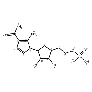 NC(=O)c1ncn(C2CC(CCOP(=O)(O)O)C(O)C2O)c1N